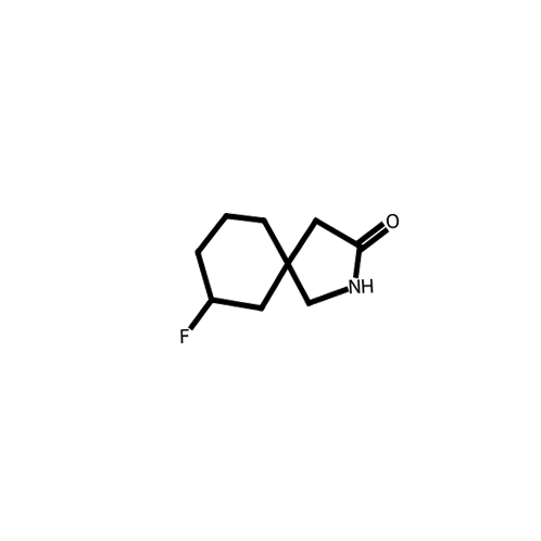 O=C1CC2(CCCC(F)C2)CN1